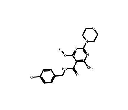 CCSc1nc(N2CCOCC2)nc(C)c1C(=O)NCc1ccc(Cl)cc1